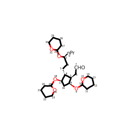 CCC[C@@H](CC[C@@H]1[C@@H](CC=O)[C@@H](OC2CCCCO2)C[C@H]1OC1CCCCO1)OC1CCCCO1